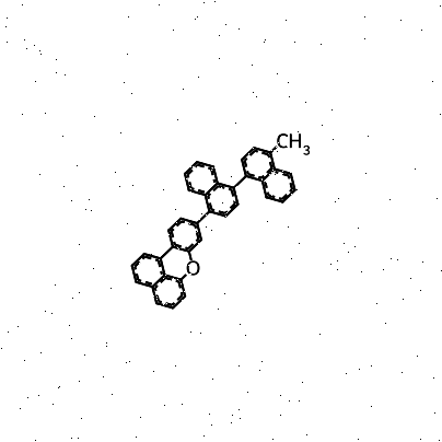 Cc1ccc(-c2ccc(-c3ccc4c(c3)Oc3cccc5cccc-4c35)c3ccccc23)c2ccccc12